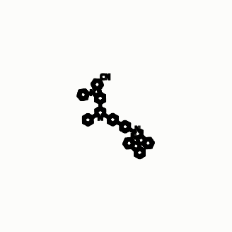 N#Cc1ccc2c(c1)c1ccc(-c3cc(-c4ccccc4)nc(-c4ccc(-c5ccc(-c6ncc7c(n6)C6(c8ccccc8-c8ccccc86)c6ccccc6-7)cc5)cc4)c3)cc1n2-c1ccccc1